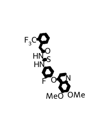 COc1cc2nccc(Oc3ccc(NC(=S)NC(=O)Cc4ccccc4C(F)(F)F)cc3F)c2cc1OC